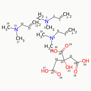 C=CCN(C)C.C=CCN(C)C.C=CCN(C)C.O=C(O)CC(O)(CC(=O)O)C(=O)O